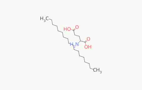 CCCCCCCCCCCCCCCCCC.NC(CCC(=O)O)C(=O)O